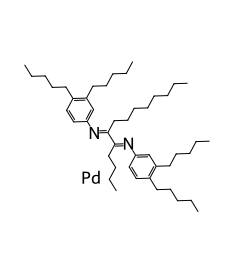 CCCCCCCCC(=Nc1ccc(CCCCC)c(CCCCC)c1)C(CCCC)=Nc1ccc(CCCCC)c(CCCCC)c1.[Pd]